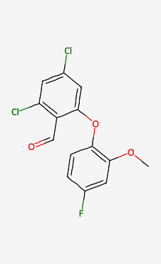 COc1cc(F)ccc1Oc1cc(Cl)cc(Cl)c1C=O